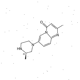 Cc1cc(=O)n2cc(N3CCN[C@H](C)C3)ccc2n1